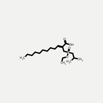 CCCCCCCCC/C=C(\CP(=O)(CC(C)C)OCC)C(=O)O